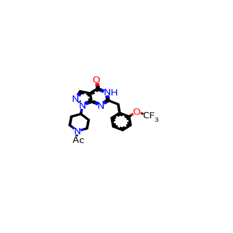 CC(=O)N1CCC(n2ncc3c(=O)[nH]c(Cc4ccccc4OC(F)(F)F)nc32)CC1